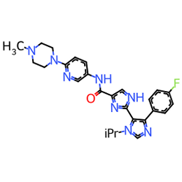 CC(C)n1cnc(-c2ccc(F)cc2)c1-c1nc(C(=O)Nc2ccc(N3CCN(C)CC3)nc2)c[nH]1